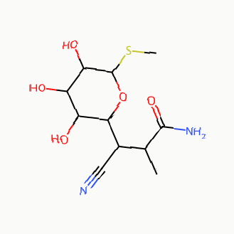 CSC1OC(C(C#N)C(C)C(N)=O)C(O)C(O)C1O